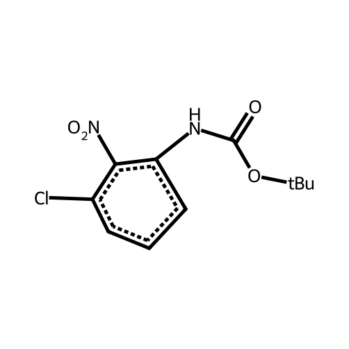 CC(C)(C)OC(=O)Nc1cccc(Cl)c1[N+](=O)[O-]